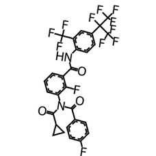 O=C(Nc1ccc(C(F)(C(F)(F)F)C(F)(F)F)cc1C(F)(F)F)c1cccc(N(C(=O)c2ccc(F)cc2)C(=O)C2CC2)c1F